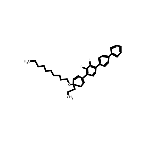 CCCCCCCCCCOC1(CCC)C=CC(c2ccc(-c3ccc(-c4ccccc4)cc3)c(F)c2F)=CC1